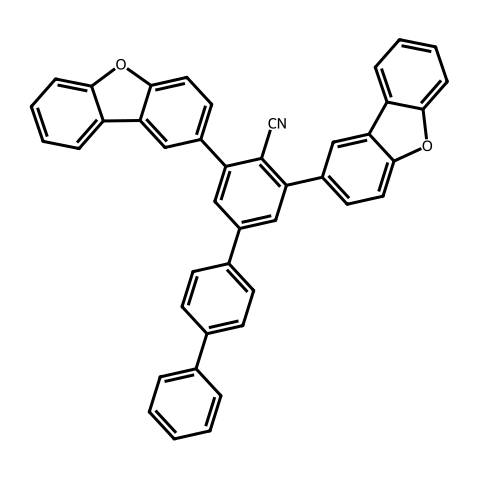 N#Cc1c(-c2ccc3oc4ccccc4c3c2)cc(-c2ccc(-c3ccccc3)cc2)cc1-c1ccc2oc3ccccc3c2c1